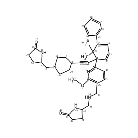 COc1nc(C2(C#CC3CCN(CC4CCC(=O)N4)CC3)C=CC=C(c3ccccc3)C2(C)C)ccc1CNCC1CCC(=O)N1